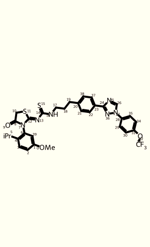 COc1ccc(C(C)C)c(N2C(=O)CS/C2=N\C(=S)NCCCc2ccc(-c3ncn(-c4ccc(OC(F)(F)F)cc4)n3)cc2)c1